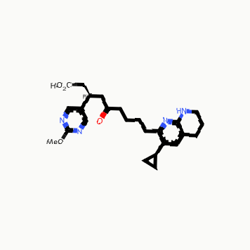 COc1ncc([C@@H](CC(=O)O)CC(=O)CCCCc2nc3c(cc2C2CC2)CCCN3)cn1